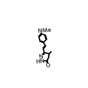 CNc1ccc(C=CC2=NNC(=O)CC2C)cc1